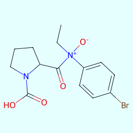 CC[N+]([O-])(C(=O)C1CCCN1C(=O)O)c1ccc(Br)cc1